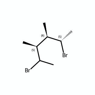 CC(Br)[C@@H](C)[C@@H](C)[C@H](C)Br